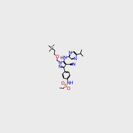 CCS(=O)(=O)Nc1ccc(-c2nn(COCC[Si](C)(C)C)c(Nc3cnc(C(C)C)cn3)c2C#N)cc1